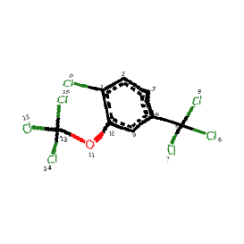 Clc1ccc(C(Cl)(Cl)Cl)cc1OC(Cl)(Cl)Cl